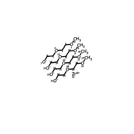 COCCOCC[O-].COCCOCC[O-].COCCOCC[O-].COCCOCC[O-].[Zr+4]